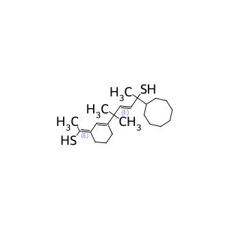 C/C(S)=C1\C=C(C(C)(C)/C=C/C(C)(S)C2CCCCCCC2)CCC1